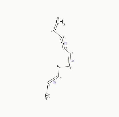 C=C/C=C/C=C\C/C=C/CC